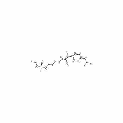 CCOP(C)(=O)OCCCCOC(=O)C(C)c1ccc(CC(C)C)cc1